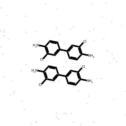 Nc1ccc(-c2ccc(N)c(Cl)c2)cc1Cl.Nc1ccc(-c2ccc(N)c(Cl)c2)cc1Cl